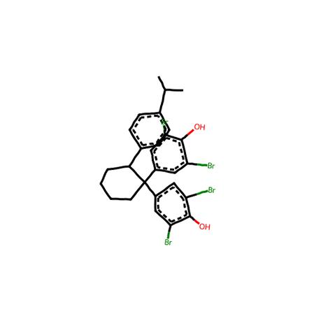 CC(C)c1ccc(C2CCCCC2(c2cc(Br)c(O)c(Br)c2)c2cc(Br)c(O)c(Br)c2)cc1